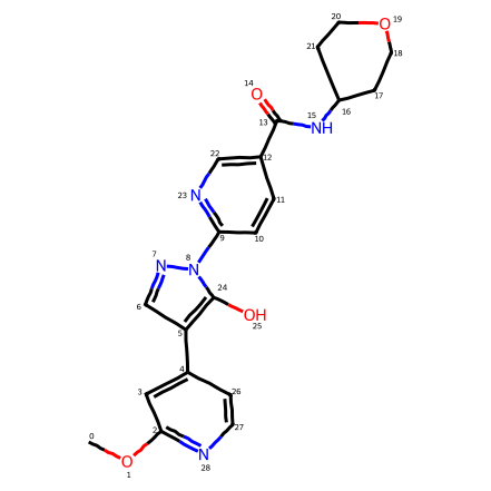 COc1cc(-c2cnn(-c3ccc(C(=O)NC4CCOCC4)cn3)c2O)ccn1